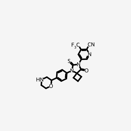 N#Cc1ncc(N2C(=O)C3(CCC3)N(c3ccc(C4CNCCO4)cc3)C2=S)cc1C(F)(F)F